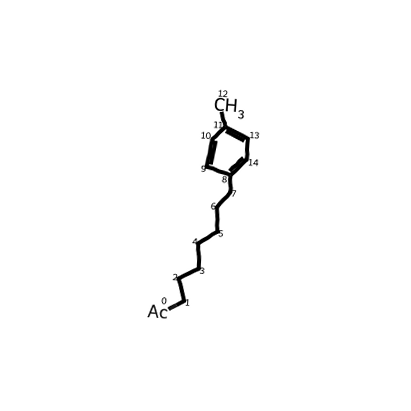 CC(=O)CCCCCCCc1ccc(C)cc1